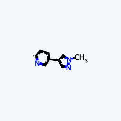 Cn1cc(-c2cc[c]nc2)cn1